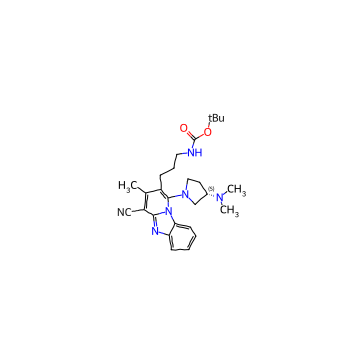 Cc1c(CCCNC(=O)OC(C)(C)C)c(N2CC[C@H](N(C)C)C2)n2c(nc3ccccc32)c1C#N